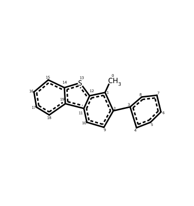 Cc1c(-c2ccccc2)ccc2c1sc1ccccc12